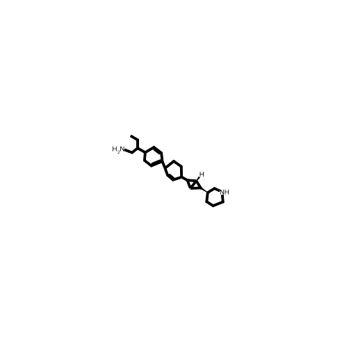 CCC(CN)C1C=CC(C2C=CC(C3C4C([C@@H]5CCCNC5)[C@@H]34)CC2)=CC1